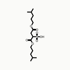 CC(C)CCCOC(=O)CC(C(=O)OCCCC(C)C)S(=O)(=O)O